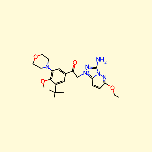 CCOc1ccc2n(n1)c(N)n[n+]2CC(=O)c1cc(N2CCOCC2)c(OC)c(C(C)(C)C)c1